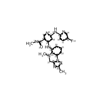 CNC(=O)c1cnc(Nc2ccc(F)cn2)cc1Nc1cccc2c1N(C)Cc1nc(C)nn1-2